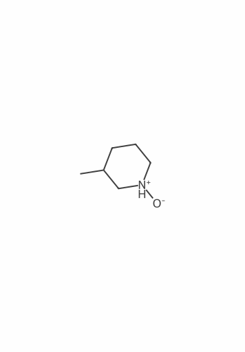 CC1CCC[NH+]([O-])C1